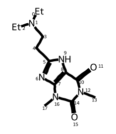 CCN(CC)CCc1nc2c([nH]1)c(=O)n(C)c(=O)n2C